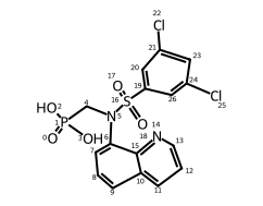 O=P(O)(O)CN(c1cccc2cccnc12)S(=O)(=O)c1cc(Cl)cc(Cl)c1